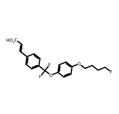 O=C(O)/C=C/c1ccc(C(F)(F)Oc2ccc(OCCCCF)cc2)cc1